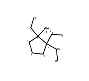 CCC1(P)CCCC1(CC)CC